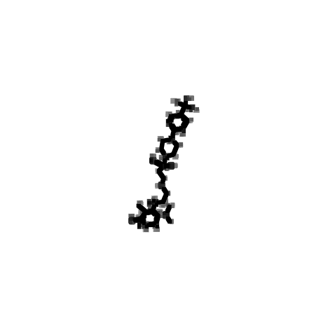 COC[C@@H](COCCS(=O)(=O)N1CCN(c2ncc(C(F)(F)F)cn2)CC1)Nc1cn[nH]c(=O)c1C